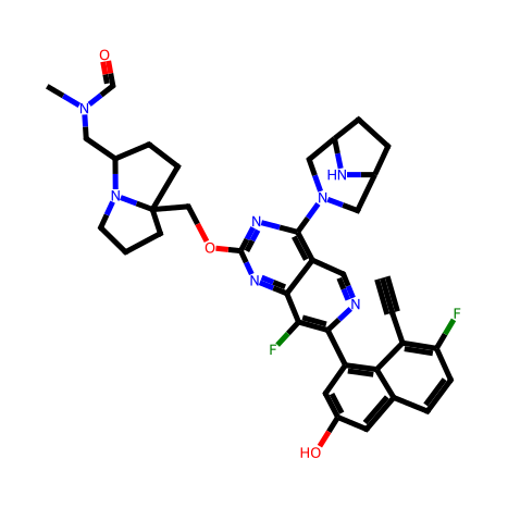 C#Cc1c(F)ccc2cc(O)cc(-c3ncc4c(N5CC6CCC(C5)N6)nc(OCC56CCCN5C(CN(C)C=O)CC6)nc4c3F)c12